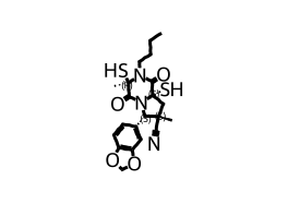 CCCCN1C(=O)[C@@]2(S)C[C@](C)(C#N)[C@H](c3ccc4c(c3)OCO4)N2C(=O)[C@@]1(C)S